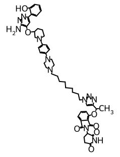 CC(Oc1cccc2c1C(=O)N(C1CCC(=O)NC1=O)C2=O)c1cn(CCCCCCCCCN2CCN(c3ccc(N4CCCC(Oc5cc(-c6ccccc6O)nnc5N)C4)cc3)CC2)nn1